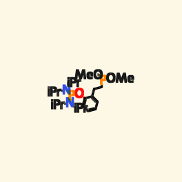 COP(CCc1ccccc1OP(N(C(C)C)C(C)C)N(C(C)C)C(C)C)OC